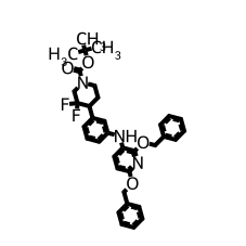 CC(C)(C)OC(=O)N1CCC(c2cccc(Nc3ccc(OCc4ccccc4)nc3OCc3ccccc3)c2)C(F)(F)C1